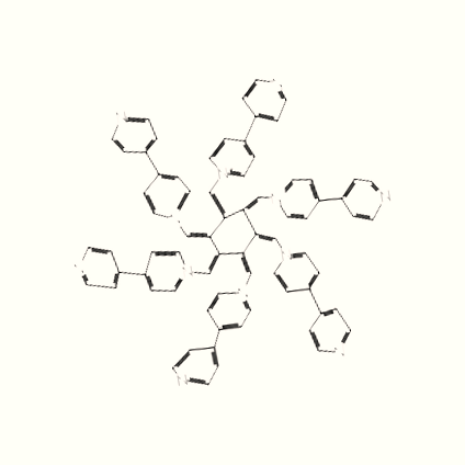 C(=c1c(=C[n+]2ccc(-c3ccncc3)cc2)c(=C[n+]2ccc(-c3ccncc3)cc2)c(=C[n+]2ccc(-c3ccncc3)cc2)c(=C[n+]2ccc(-c3ccncc3)cc2)c1=C[n+]1ccc(-c2ccncc2)cc1)[n+]1ccc(-c2ccncc2)cc1